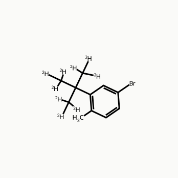 [2H]C([2H])([2H])C(c1cc(Br)ccc1C)(C([2H])([2H])[2H])C([2H])([2H])[2H]